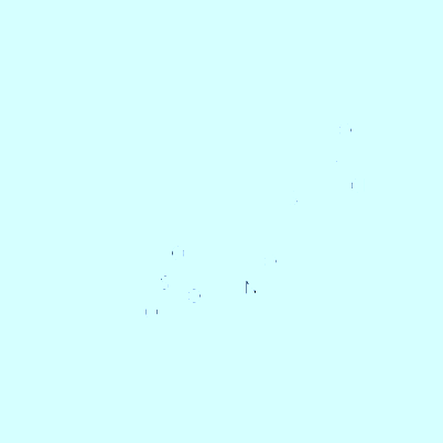 O=C(Cl)CSCc1cc(OS(=O)(=O)c2ccccc2)no1